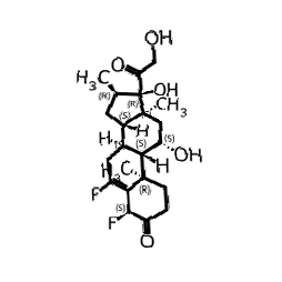 C[C@@H]1C[C@H]2[C@@H]3CC(F)=C4[C@H](F)C(=O)CC[C@]4(C)[C@H]3[C@@H](O)C[C@]2(C)[C@@]1(O)C(=O)CO